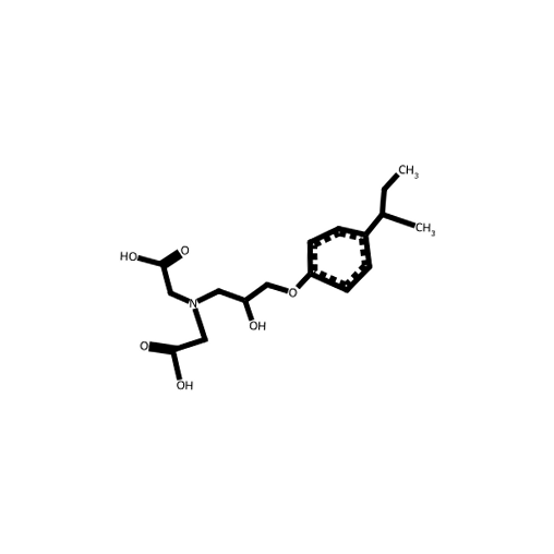 CCC(C)c1ccc(OCC(O)CN(CC(=O)O)CC(=O)O)cc1